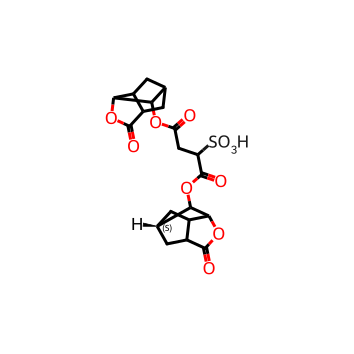 O=C(CC(C(=O)OC1C2OC(=O)C3C[C@@H]1CC32)S(=O)(=O)O)OC1C2CC3C(=O)OC1C3C2